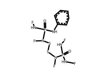 O=P(NF)(NF)N(F)SSN(F)P(=O)(NF)Nc1ccccc1